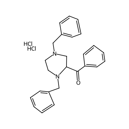 Cl.Cl.O=C(c1ccccc1)C1CN(Cc2ccccc2)CCN1Cc1ccccc1